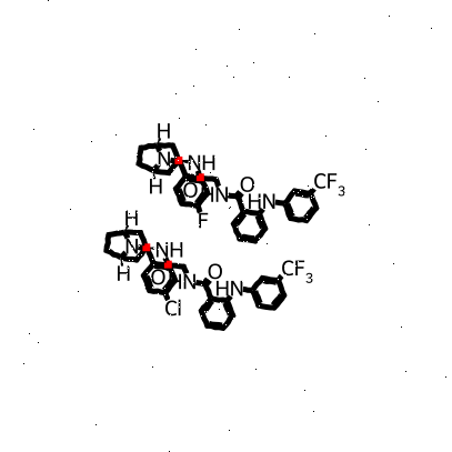 O=C(CNC(=O)c1ccccc1Nc1cccc(C(F)(F)F)c1)N[C@@H]1C[C@H]2CC[C@@H](C1)N2Cc1ccc(Cl)cc1.O=C(CNC(=O)c1ccccc1Nc1cccc(C(F)(F)F)c1)N[C@H]1C[C@H]2CC[C@@H](C1)N2Cc1ccc(F)cc1